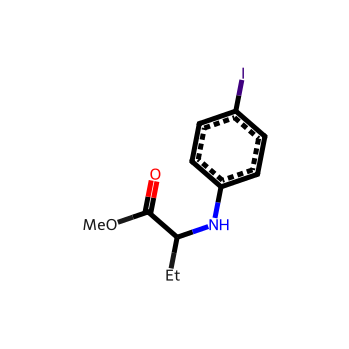 CCC(Nc1ccc(I)cc1)C(=O)OC